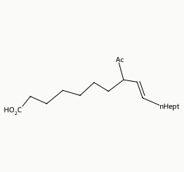 CCCCCCC/C=C/C(CCCCCCC(=O)O)C(C)=O